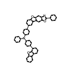 c1ccc(-c2nc3cc4oc5ccc(-c6ccc(N(c7ccccc7)c7ccc(-c8cccc9c8oc8ccccc89)cc7)cc6)cc5c4cc3o2)cc1